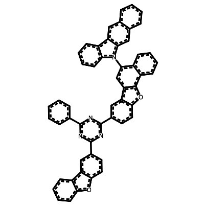 c1ccc(-c2nc(-c3ccc4oc5ccccc5c4c3)nc(-c3ccc4oc5c6ccccc6c(-n6c7ccccc7c7cc8ccccc8cc76)cc5c4c3)n2)cc1